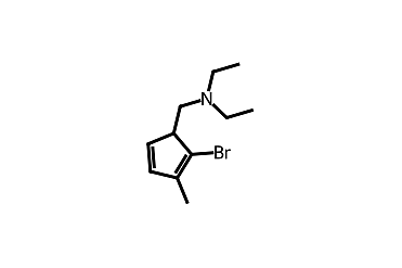 CCN(CC)CC1C=CC(C)=C1Br